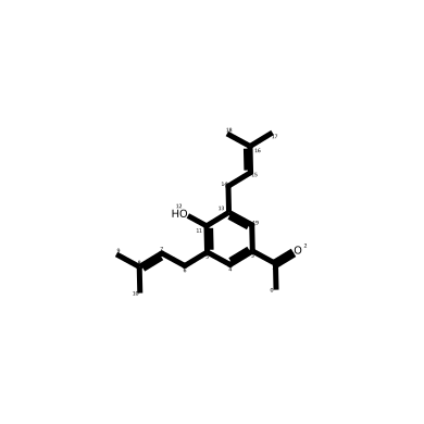 CC(=O)c1cc(CC=C(C)C)c(O)c(CC=C(C)C)c1